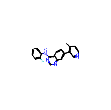 Cc1ccncc1-c1ccc2c(Nc3ccccc3F)ncnc2c1